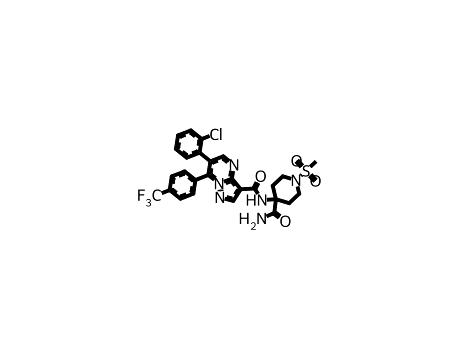 CS(=O)(=O)N1CCC(NC(=O)c2cnn3c(-c4ccc(C(F)(F)F)cc4)c(-c4ccccc4Cl)cnc23)(C(N)=O)CC1